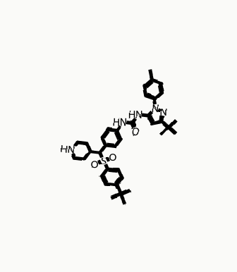 Cc1ccc(-n2nc(C(C)(C)C)cc2NC(=O)Nc2ccc(C(C3CCNCC3)S(=O)(=O)c3ccc(C(C)(C)C)cc3)cc2)cc1